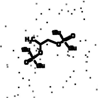 CC(COP(=O)(C(C)(C)C)C(C)(C)C)OP(=O)(C(C)(C)C)C(C)(C)C